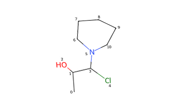 CC(O)C(Cl)N1CCCCC1